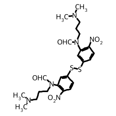 CN(C)CCCN(C=O)c1cc(SSc2ccc([N+](=O)[O-])c(N(C=O)CCCN(C)C)c2)ccc1[N+](=O)[O-]